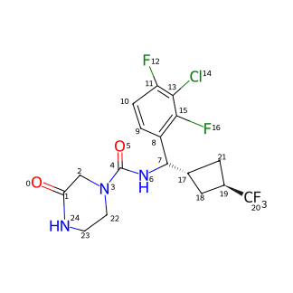 O=C1CN(C(=O)NC(c2ccc(F)c(Cl)c2F)[C@H]2C[C@H](C(F)(F)F)C2)CCN1